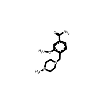 COc1cc(C(N)=O)ccc1CN1CCN(C)CC1